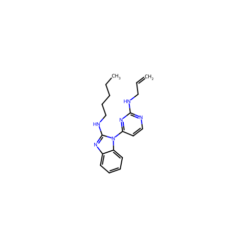 C=CCNc1nccc(-n2c(NCCCCC)nc3ccccc32)n1